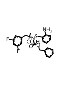 C[C@](Cc1cc(F)cc(F)c1)(C(=O)O)N(Sc1ccccc1N)C(=O)OCc1ccccc1